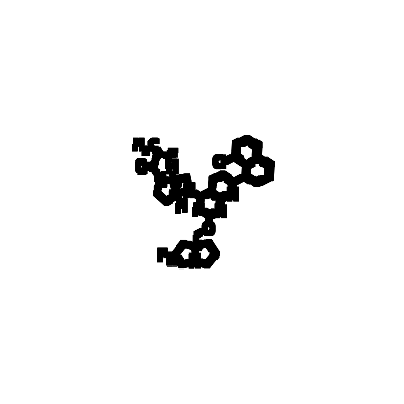 C=C(F)C(=O)N1CC[C@@H]2[C@H]1CN2c1nc(OC[C@@]23CCCN2C[C@H](F)C3)nc2nc(-c3cccc4cccc(Cl)c34)ccc12